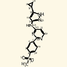 CS(=O)(=O)c1ccc(-c2nccc(Nc3cc(C4CC4)[nH]n3)n2)cc1